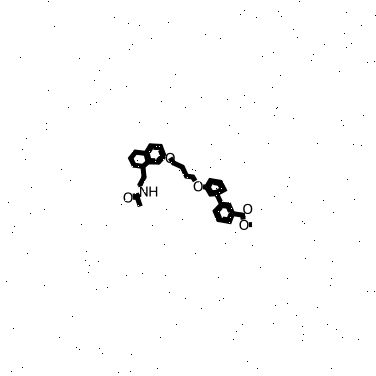 COC(=O)c1cccc(-c2cccc(OCCCCOc3ccc4c(c3)C(CCNC(C)=O)CCC4)c2)c1